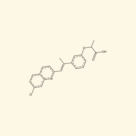 C/C(=C\c1ccc2ccc(Cl)cc2n1)c1cccc(OC(C)C(=O)O)c1